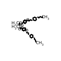 CCCCC[C@H]1CC[C@H](CCCOc2ccc(C(=O)O[C@H](C)[C@@H](C)OC(=O)c3ccc(OCCC[C@H]4CC[C@H](CCCCC)CC4)cc3)cc2)CC1